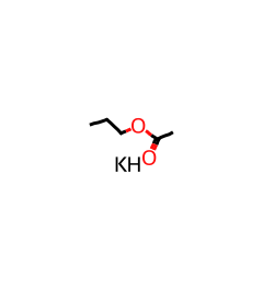 CCCOC(C)=O.[KH]